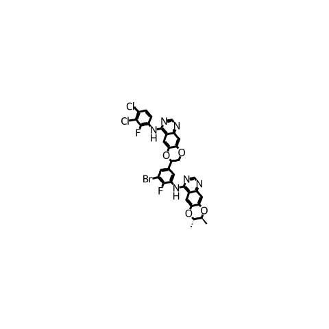 C[C@@H]1Oc2cc3ncnc(Nc4cc(C5COc6cc7ncnc(Nc8ccc(Cl)c(Cl)c8F)c7cc6O5)cc(Br)c4F)c3cc2O[C@H]1C